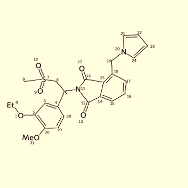 CCOc1cc(C(CS(C)(=O)=O)N2C(=O)c3cccc(Cn4cccc4)c3C2=O)ccc1OC